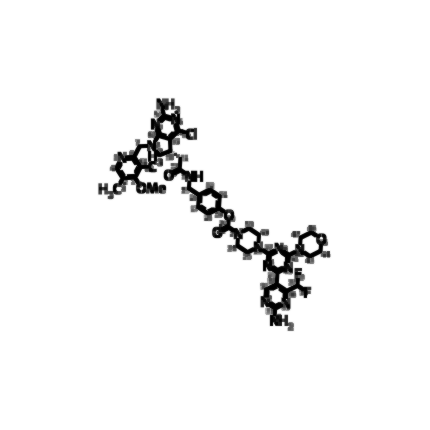 COc1c(C)cnc(CN2C[C@@H](CC(=O)NCc3ccc(OC(=O)N4CCN(c5nc(-c6cnc(N)nc6C(F)F)nc(N6CCOCC6)n5)CC4)cc3)c3c(Cl)nc(N)nc32)c1C